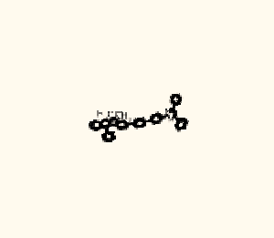 CC1(C)c2cc(-c3ccc(-c4ccc(-c5nc(-c6ccccc6)cc(-c6ccccc6)n5)cc4)cc3)ccc2-c2c1cc1ccccc1c2-c1ccccc1